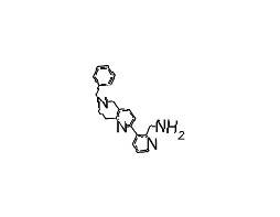 NCc1ncccc1-c1ccc2c(n1)CCN(Cc1ccccc1)C2